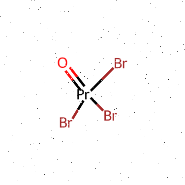 [O]=[Pr]([Br])([Br])[Br]